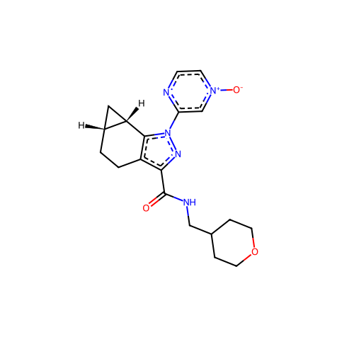 O=C(NCC1CCOCC1)c1nn(-c2c[n+]([O-])ccn2)c2c1CC[C@@H]1C[C@H]21